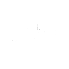 FC(F)(F)c1ccc(NCCCl)cc1